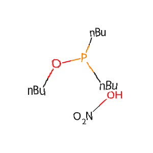 CCCCOP(CCCC)CCCC.O=[N+]([O-])O